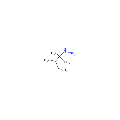 CCC(C)C(C)(C)NN